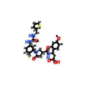 COc1ccc(C(CC(=O)O)NC(=O)C2CC(=O)N(c3cc(NC(=O)NCc4cccs4)ccc3F)C2)cc1